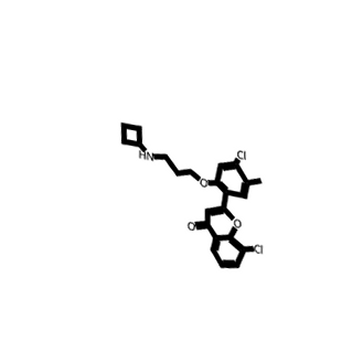 Cc1cc(-c2cc(=O)c3cccc(Cl)c3o2)c(OCCCNC2CCC2)cc1Cl